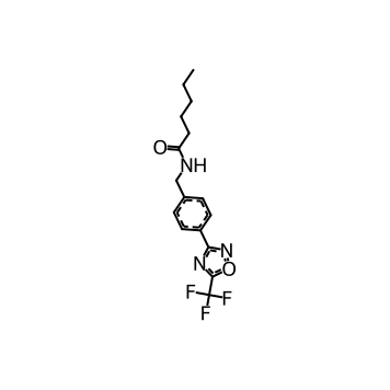 CCCCCC(=O)NCc1ccc(-c2noc(C(F)(F)F)n2)cc1